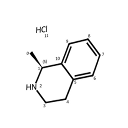 C[C@@H]1NCCc2ccccc21.Cl